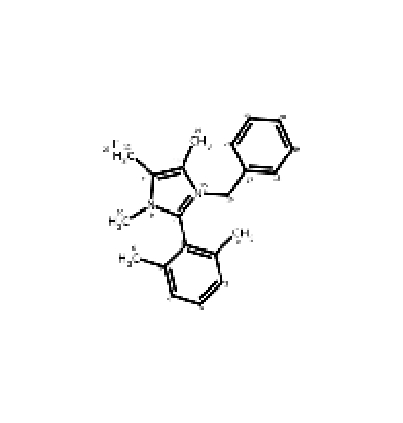 Cc1cccc(C)c1-c1n(C)c(C)c(C)[n+]1Cc1ccccc1.[I-]